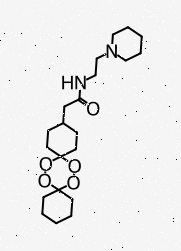 O=C(CC1CCC2(CC1)OOC1(CCCCC1)OO2)NCCN1CCCCC1